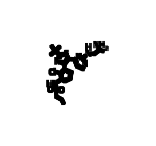 CCCS(=O)(=O)Nc1cccc(-c2nc(C(C)(C)C)sc2-c2ccnc(NCC(C)N)n2)c1Cl